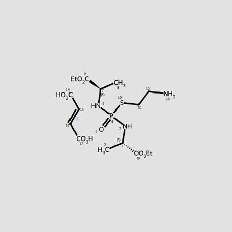 CCOC(=O)[C@H](C)NP(=O)(N[C@H](C)C(=O)OCC)SCCN.O=C(O)/C=C/C(=O)O